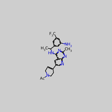 CC(=O)N1CC=C(c2cnc3nc(C)nc(NC(C)c4cc(N)cc(C(F)(F)F)c4)c3c2)CC1